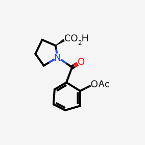 CC(=O)Oc1ccccc1C(=O)N1CCC[C@H]1C(=O)O